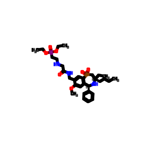 CCCC[C@]1(CC)CS(=O)(=O)c2cc(CNC(=O)CNCCP(=O)(OCC)OCC)c(OC)cc2[C@@H](c2ccccc2)N1